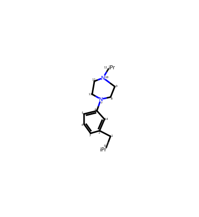 CC(C)Cc1cccc(N2CCN(C(C)C)CC2)c1